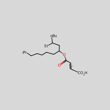 CCCCC(CC)CC(CCCCCC(C)C)OC(=O)/C=C/C(=O)O